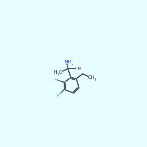 CCc1ccc(F)c(F)c1C(C)(C)N